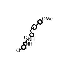 COc1ccc(C2CCN(CC3CCC(NC(=O)c4cc5cc(Cl)ccc5[nH]4)C3)CC2)cc1